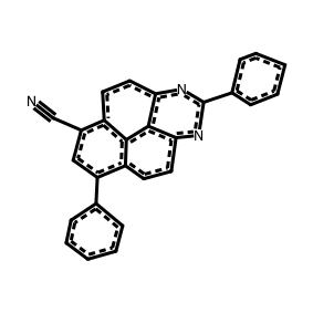 N#Cc1cc(-c2ccccc2)c2ccc3nc(-c4ccccc4)nc4ccc1c2c43